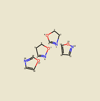 C1=NCCO1.C1=NOCC1.c1cnoc1.c1cocn1